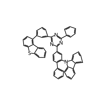 c1ccc(-c2nc(-c3cccc(-c4cccc5sc6ccccc6c45)c3)nc(-c3ccc(-c4ccccc4)c(-n4c5ccccc5c5ccccc54)c3)n2)cc1